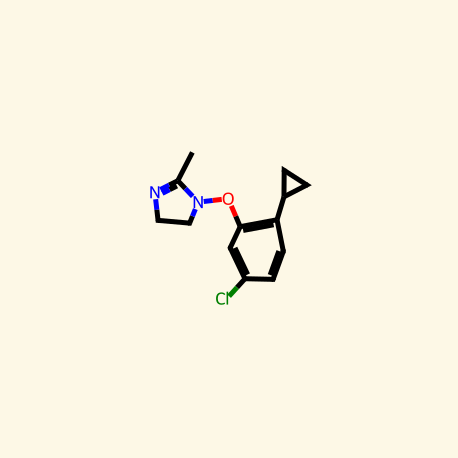 CC1=NCCN1Oc1cc(Cl)ccc1C1CC1